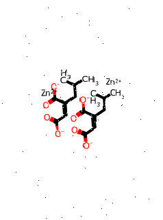 CC(C)C/C(=C/C(=O)[O-])C(=O)[O-].CC(C)C/C(=C/C(=O)[O-])C(=O)[O-].[Zn+2].[Zn+2]